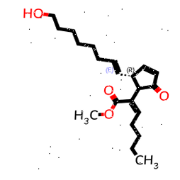 CCCCC=C(C(=O)OC)C1C(=O)C=C[C@H]1/C=C/CCCCCCO